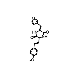 COc1ccc(C=CC2NC(=O)C(=Cc3ccoc3)NC2=O)cc1